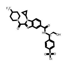 CCS(=O)(=O)c1ccc([C@H](CO)NC(=O)c2ccc3c(c2)nc(C(=O)N2CCC(C(F)(F)F)CC2)n3C2CC2)cc1